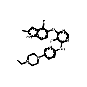 CCN1CCN(c2ccc(Nc3ncnc(Oc4ccc5[nH]c(C)cc5c4F)c3F)nc2)CC1